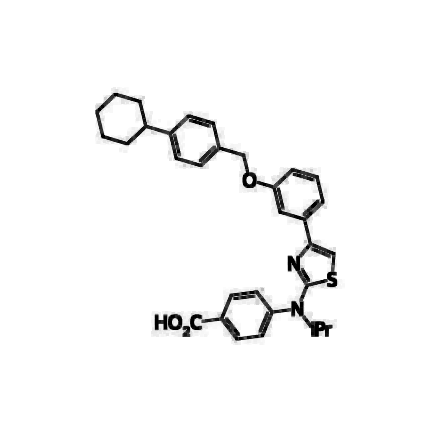 CC(C)N(c1ccc(C(=O)O)cc1)c1nc(-c2cccc(OCc3ccc(C4CCCCC4)cc3)c2)cs1